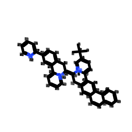 CC(C)(C)c1ccc2[n+](c1)/C(=C1\Cc3ccc(-c4ccccn4)cc3-c3cccc[n+]31)Cc1cc3ccc4ccccc4c3cc1-2